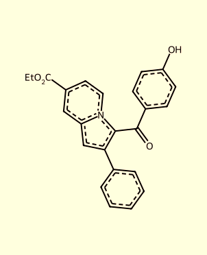 CCOC(=O)c1ccn2c(C(=O)c3ccc(O)cc3)c(-c3ccccc3)cc2c1